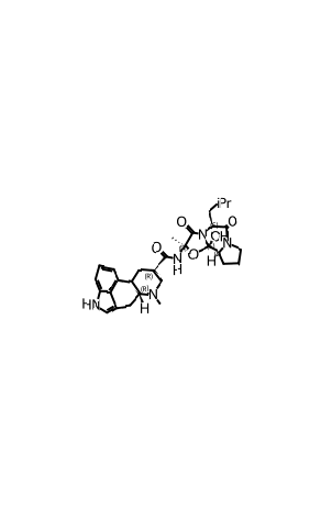 CC(C)C[C@H]1C(=O)N2CCC[C@H]2[C@]2(O)O[C@@](C)(NC(=O)[C@@H]3CC4c5cccc6[nH]cc(c56)C[C@H]4N(C)C3)C(=O)N12